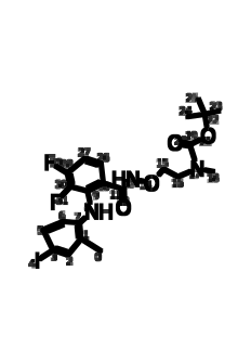 Cc1cc(I)ccc1Nc1c(C(=O)NOCCN(C)C(=O)OC(C)(C)C)ccc(F)c1F